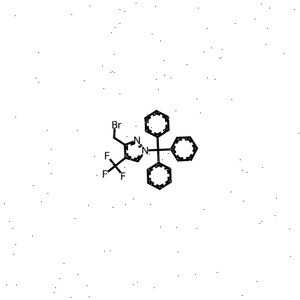 FC(F)(F)c1cn(C(c2ccccc2)(c2ccccc2)c2ccccc2)nc1CBr